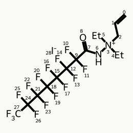 C=CC[N+](CC)(CC)NC(=O)C(F)(F)C(F)(F)C(F)(F)C(F)(F)C(F)(F)C(F)(F)C(F)(F)F.[I-]